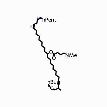 CCCCC=C=CC(C)C#CCCCCCCCCC(CCCCCCCC/C=C\C/C=C\CCCCC)OC(=O)CCCNC